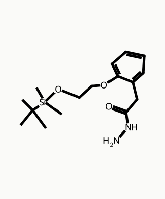 CC(C)(C)[Si](C)(C)OCCOc1ccccc1CC(=O)NN